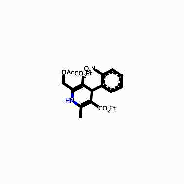 CCOC(=O)C1=C(C)NC(COC(C)=O)=C(C(=O)OCC)C1c1ccccc1[N+](=O)[O-]